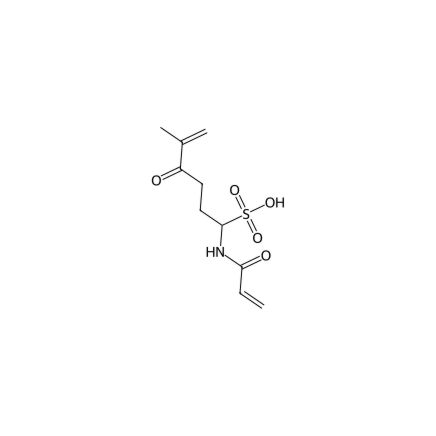 C=CC(=O)NC(CCC(=O)C(=C)C)S(=O)(=O)O